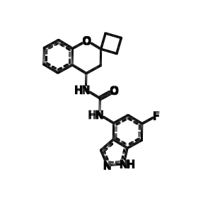 O=C(Nc1cc(F)cc2[nH]ncc12)NC1CC2(CCC2)Oc2ccccc21